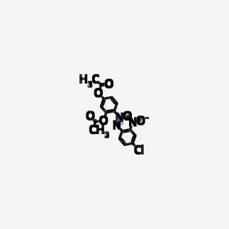 CC(=O)Oc1ccc(/N=N/c2ccc(Cl)cc2[N+](=O)[O-])c(OC(C)=O)c1